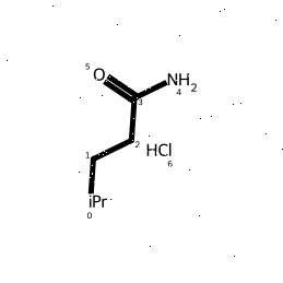 CC(C)CCC(N)=O.Cl